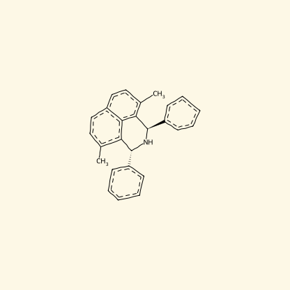 Cc1ccc2ccc(C)c3c2c1[C@@H](c1ccccc1)N[C@@H]3c1ccccc1